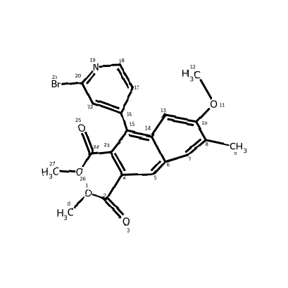 COC(=O)c1cc2cc(C)c(OC)cc2c(-c2ccnc(Br)c2)c1C(=O)OC